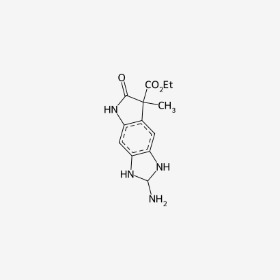 CCOC(=O)C1(C)C(=O)Nc2cc3c(cc21)NC(N)N3